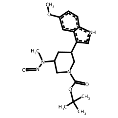 COc1ccc2[nH]cc(C3CC(N(C)N=O)CN(C(=O)OC(C)(C)C)C3)c2c1